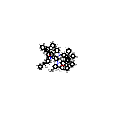 CC(C)(C)c1ccc(N2c3ccc([Si](c4ccccc4)(c4ccccc4)c4ccccc4)cc3B3c4cc([Si](c5ccccc5)(c5ccccc5)c5ccccc5)ccc4N(c4cccc([Si](c5ccccc5)(c5ccccc5)c5ccccc5)c4)c4cc(-n5c6ccc(C(C)(C)c7ccccc7)cc6c6cc(C(C)(C)c7ccccc7)ccc65)cc2c43)c(-c2ccccc2)c1